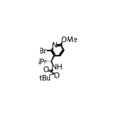 COc1ccc([C@H](NS(=O)(=O)C(C)(C)C)C(C)C)c(Br)n1